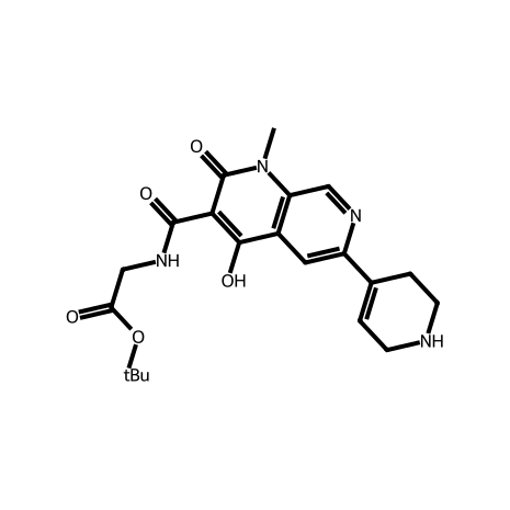 Cn1c(=O)c(C(=O)NCC(=O)OC(C)(C)C)c(O)c2cc(C3=CCNCC3)ncc21